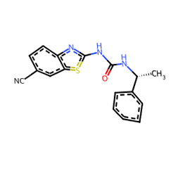 C[C@@H](NC(=O)Nc1nc2ccc(C#N)cc2s1)c1ccccc1